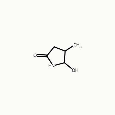 CC1CC(=O)NC1O